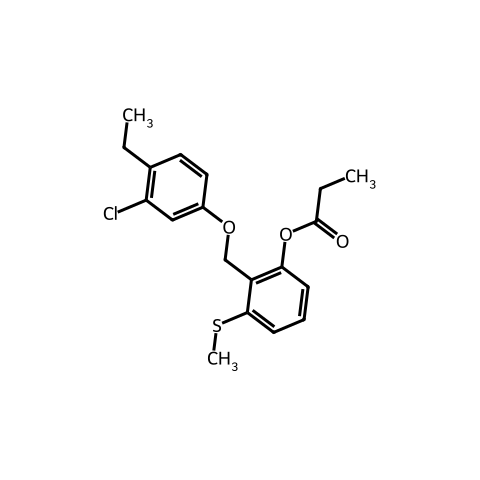 CCC(=O)Oc1cccc(SC)c1COc1ccc(CC)c(Cl)c1